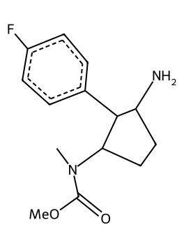 COC(=O)N(C)C1CCC(N)C1c1ccc(F)cc1